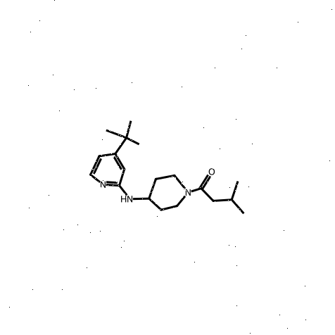 CC(C)CC(=O)N1CCC(Nc2cc(C(C)(C)C)ccn2)CC1